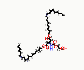 CCCCC/C=C\C/C=C\CCCCCCCCOC(=O)CC(CC(=O)OCCCCCCCC/C=C\C/C=C\CCCCC)NC(=O)OCCO